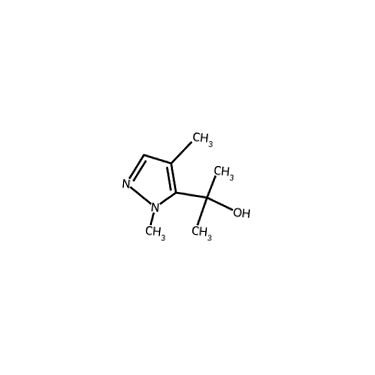 Cc1cnn(C)c1C(C)(C)O